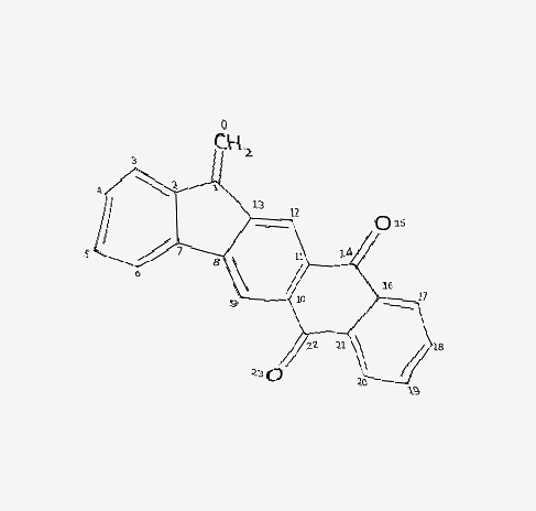 C=C1c2ccccc2-c2cc3c(cc21)C(=O)c1ccccc1C3=O